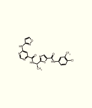 C[C@@H](NC(=O)c1cc(Nc2ccon2)ncn1)c1ncc(C(=O)Nc2ccc(Cl)c(C(F)(F)F)c2)s1